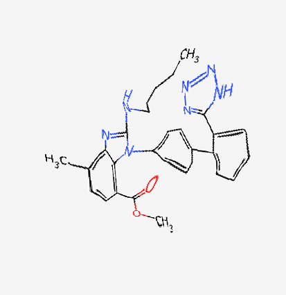 CCCCNc1nc2c(C)ccc(C(=O)OC)c2n1-c1ccc(-c2ccccc2-c2nnn[nH]2)cc1